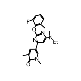 CCNc1cc(-c2cc(C)c(=O)n(C)c2)nc(Oc2c(C)cccc2F)n1